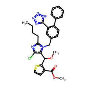 CCCCc1nc(Cl)c(C(OC)c2sccc2C(=O)OC)n1Cc1ccc(-c2ccccc2)c(-c2nnn[nH]2)c1